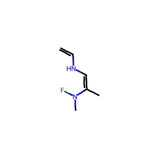 C=CN/C=C(/C)N(C)F